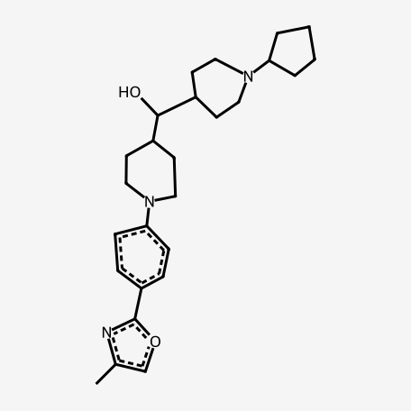 Cc1coc(-c2ccc(N3CCC(C(O)C4CCN(C5CCCC5)CC4)CC3)cc2)n1